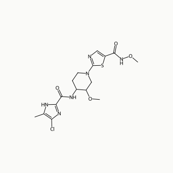 CONC(=O)c1cnc(N2CCC(NC(=O)c3nc(Cl)c(C)[nH]3)C(OC)C2)s1